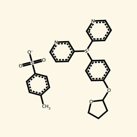 Cc1ccc(S(=O)(=O)[O-])cc1.c1cncc([S+](c2ccc(OC3CCCO3)cc2)c2cccnc2)c1